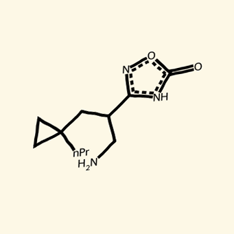 CCCC1(CC(CN)c2noc(=O)[nH]2)CC1